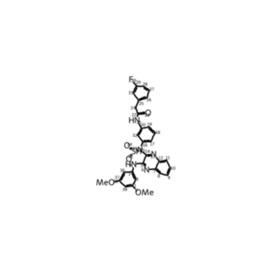 COc1cc(Nc2nc3ccccc3nc2N(c2cccc(NC(=O)Cc3cccc(F)c3)c2)[SH](=O)=O)cc(OC)c1